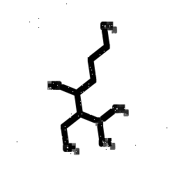 CCCCC(O)C(CC)N(C)C